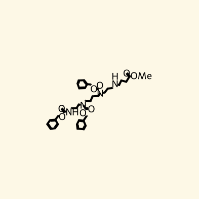 COC(=O)CCCNCCCN(CCCCN(CCCNC(=O)OCc1ccccc1)C(=O)OCc1ccccc1)C(=O)OCc1ccccc1